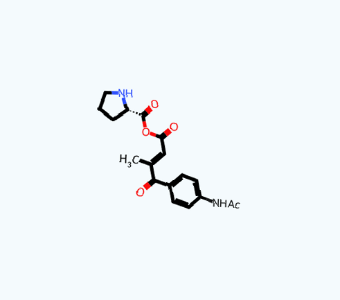 CC(=O)Nc1ccc(C(=O)C(C)=CC(=O)OC(=O)[C@@H]2CCCN2)cc1